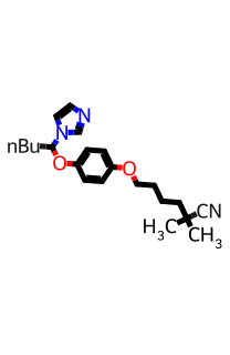 CCCCC(Oc1ccc(OCCCCC(C)(C)C#N)cc1)n1ccnc1